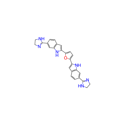 c1cc2cc(-c3ccc(-c4cc5ccc(C6=NCCN6)cc5[nH]4)o3)[nH]c2cc1C1=NCCN1